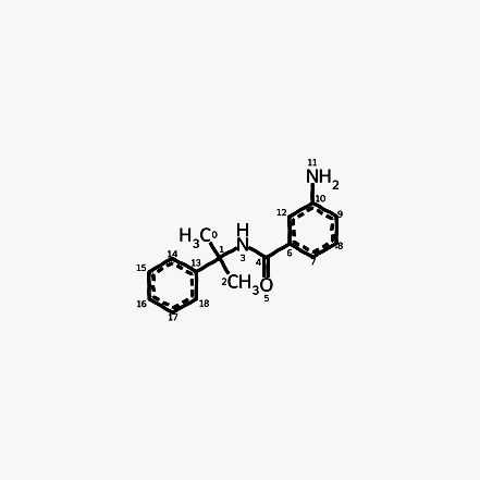 CC(C)(NC(=O)c1c[c]cc(N)c1)c1ccccc1